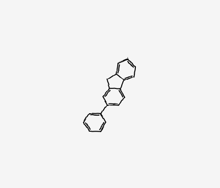 [c]1ccc2c(c1)Cc1cc(-c3ccccc3)ccc1-2